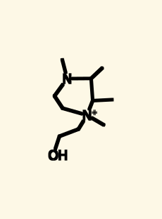 CC1C(C)[N+](C)(CCO)CCN1C